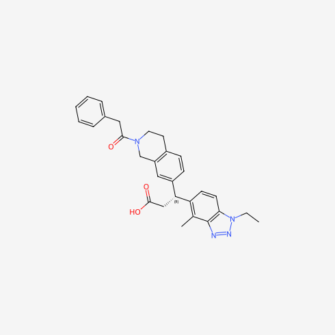 CCn1nnc2c(C)c([C@H](CC(=O)O)c3ccc4c(c3)CN(C(=O)Cc3ccccc3)CC4)ccc21